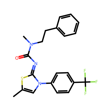 Cc1cn(-c2ccc(C(F)(F)F)cc2)/c(=N/C(=O)N(C)CCc2ccccc2)s1